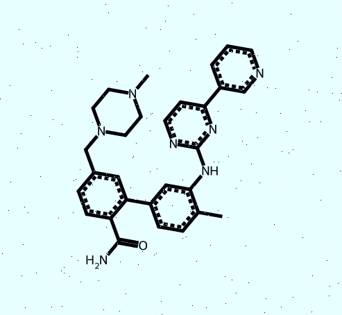 Cc1ccc(-c2cc(CN3CCN(C)CC3)ccc2C(N)=O)cc1Nc1nccc(-c2cccnc2)n1